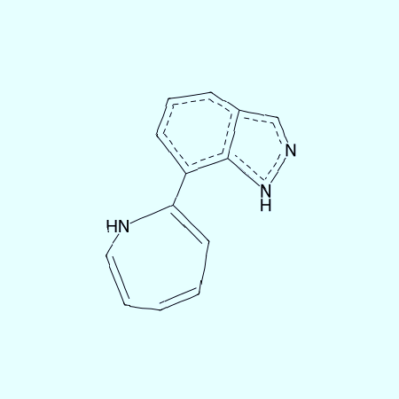 C1=CC=C(c2cccc3cn[nH]c23)NC=C1